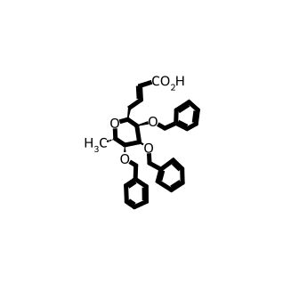 C[C@@H]1O[C@@H](C/C=C/C(=O)O)[C@@H](OCc2ccccc2)[C@H](OCc2ccccc2)[C@@H]1OCc1ccccc1